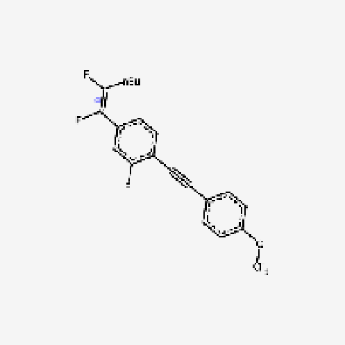 CCCC/C(F)=C(/F)c1ccc(C#Cc2ccc(OC(F)(F)F)cc2)c(F)c1